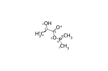 C[C@@H](O)C(=O)OP(C)C